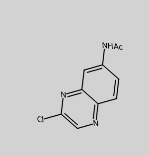 CC(=O)Nc1ccc2ncc(Cl)nc2c1